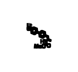 CCOc1ccc(-c2ccc(CC(C)NC(=O)OC)cc2)cc1